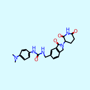 CN(C)c1ccc(NC(=O)NCc2ccc3c(c2)C(=O)N(C2CCC(=O)NC2=O)C3)cc1